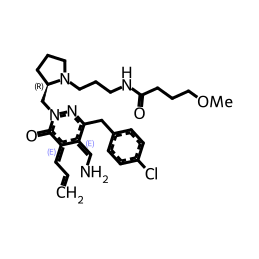 C=C/C=c1/c(=O)n(C[C@H]2CCCN2CCCNC(=O)CCCOC)nc(Cc2ccc(Cl)cc2)/c1=C/N